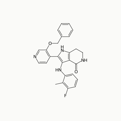 Cc1c(F)cccc1Nc1c(-c2ccncc2OCc2ccccc2)[nH]c2c1C(=O)NCC2